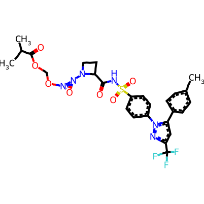 Cc1ccc(-c2cc(C(F)(F)F)nn2-c2ccc(S(=O)(=O)NC(=O)C3CCN3n3on3OCOC(=O)C(C)C)cc2)cc1